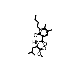 CCCCn1c(C)c(C)cc(C(=O)NC(CC(C)C)C(=O)OC)c1=O